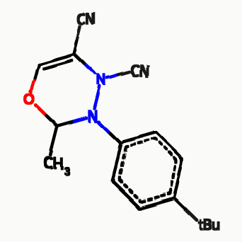 CC1OC=C(C#N)N(C#N)N1c1ccc(C(C)(C)C)cc1